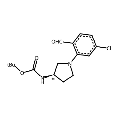 CC(C)(C)OC(=O)N[C@@H]1CCN(c2cc(Cl)ccc2C=O)C1